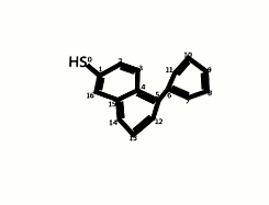 Sc1ccc2c(-c3ccccc3)cccc2c1